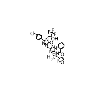 CC(NC(=O)c1ccccc1-n1cnc(Cn2nc(-c3ccc(Cl)cc3)n(CC(O)C(F)(F)F)c2=O)n1)c1ccon1